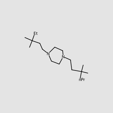 CCCC(C)(C)CCN1CCN(CCC(C)(C)CC)CC1